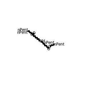 CCCCCC(CCCCC)CCCOC(=O)CCCCCCCNCCCCCCCC(=O)OCCCC(CCCCC)CCCCC